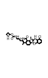 Cc1c(CC=CNC(=O)OC2CCN2)[nH]c(=O)c2c1ccc1nc(Nc3c(Cl)cccc3Cl)n(C)c12